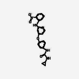 O=C(Nc1ccc(Oc2ccnc(Nc3ccccc3[N+](=O)[O-])c2)cc1)NC1CC1